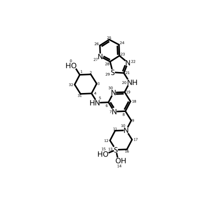 OC1CCC(Nc2nc(CN3CCS(O)(O)CC3)cc(Nc3nc4cccnc4s3)n2)CC1